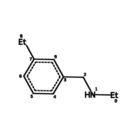 CCNCc1cccc(CC)c1